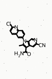 Cc1c(C(N)=O)c2cc(C#N)ncc2n1-c1ccc2nc(Cl)ccc2c1